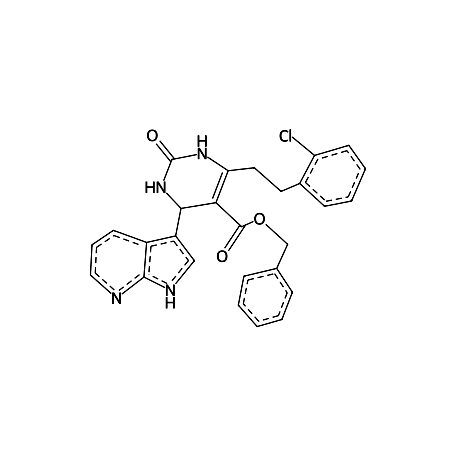 O=C1NC(CCc2ccccc2Cl)=C(C(=O)OCc2ccccc2)C(c2c[nH]c3ncccc23)N1